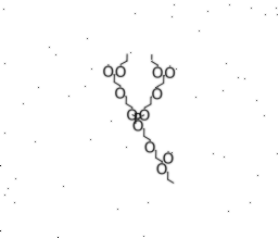 CCCOC(CCOCCCOP(OCCCOCCC(OC)OCCC)OCCCOCCC(OC)OCCC)OC